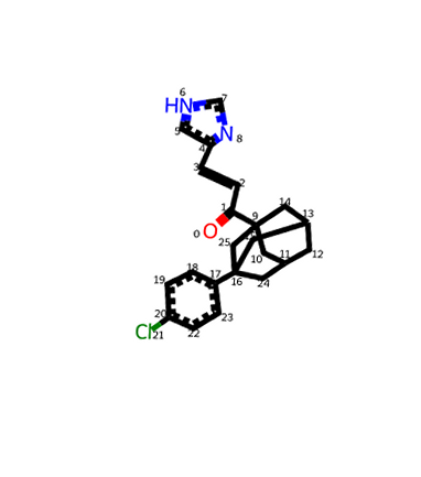 O=C(C=Cc1c[nH]cn1)C12CC3CC(C1)CC(c1ccc(Cl)cc1)(C3)C2